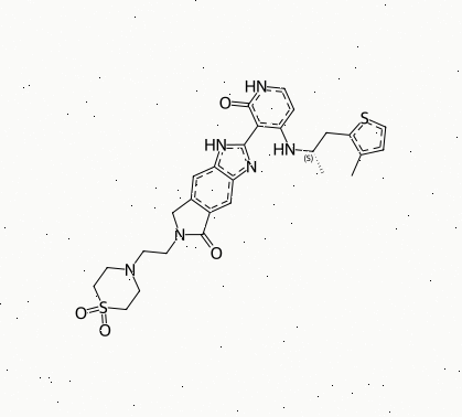 Cc1ccsc1C[C@H](C)Nc1cc[nH]c(=O)c1-c1nc2cc3c(cc2[nH]1)CN(CCN1CCS(=O)(=O)CC1)C3=O